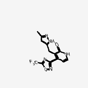 Cc1cc(Cc2c(-c3noc(C(F)(F)F)n3)cc[nH]c2=O)[nH]n1